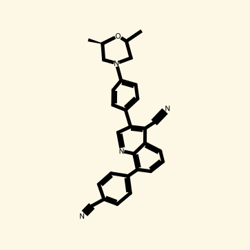 CC1CN(c2ccc(-c3cnc4c(-c5ccc(C#N)cc5)cccc4c3C#N)cc2)C[C@@H](C)O1